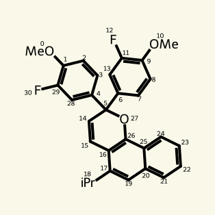 COc1ccc(C2(c3ccc(OC)c(F)c3)C=Cc3c(C(C)C)cc4ccccc4c3O2)cc1F